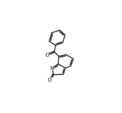 O=C1C=c2cccc(C(=O)c3ccccc3)c2=N1